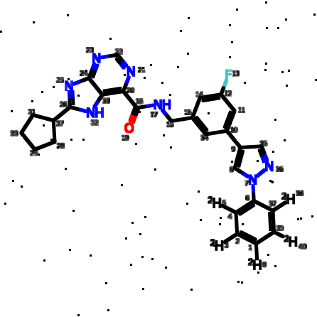 [2H]c1c([2H])c([2H])c(-n2cc(-c3cc(F)cc(CNC(=O)c4ncnc5nc(C6CCCC6)[nH]c45)c3)cn2)c([2H])c1[2H]